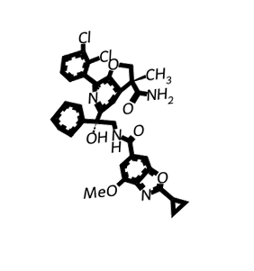 COc1cc(C(=O)NC[C@@](O)(c2ccccc2)c2cc3c(c(-c4cccc(Cl)c4Cl)n2)OC[C@]3(C)C(N)=O)cc2oc(C3CC3)nc12